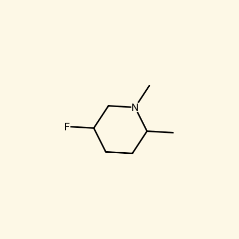 CC1CCC(F)CN1C